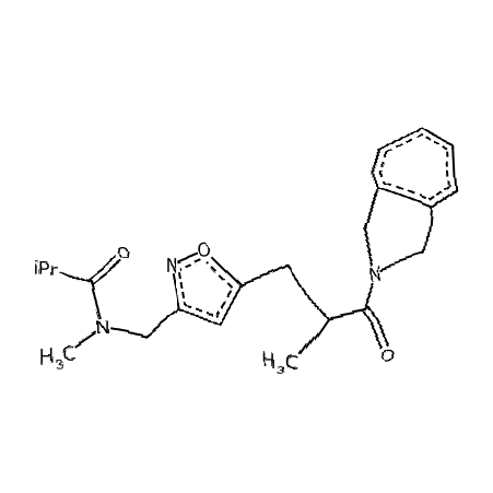 CC(C)C(=O)N(C)Cc1cc(CC(C)C(=O)N2Cc3ccccc3C2)on1